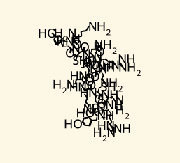 C[C@@H](O)[C@H](NC(=O)[C@H](CCN)NC(=O)[C@H](CCCNC(=N)N)NC(=O)[C@H](CC(N)=O)NC(=O)[C@@H](NC(=O)[C@H](Cc1ccc(O)cc1)NC(=O)[C@@H](N)CCCCN)C(C)(C)S)C(=O)N[C@H](CCN)C(=O)N[C@@H](CCCCN)C(=O)N[C@@H](CS)C(=O)N[C@@H](CCN)C(=O)N[C@@H](CCCNC(=N)N)C(=O)N[C@@H](Cc1ccc(O)cc1)C(=O)O